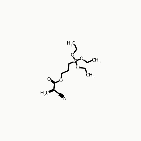 C=C(C#N)C(=O)OCCC[Si](OCC)(OCC)OCC